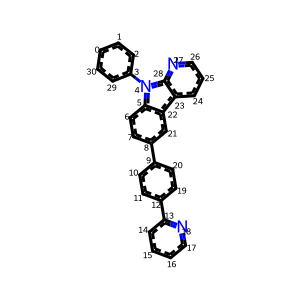 c1ccc(-n2c3ccc(-c4ccc(-c5ccccn5)cc4)cc3c3cccnc32)cc1